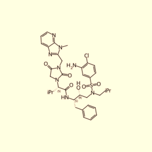 CC(C)CN(C[C@@H](O)[C@H](Cc1ccccc1)NC(=O)[C@H](C(C)C)N1CC(=O)N(Cc2nc3cccnc3n2C)C1=O)S(=O)(=O)c1ccc(Cl)c(N)c1